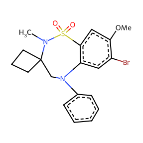 COc1cc2c(cc1Br)N(c1ccccc1)CC1(CCC1)N(C)S2(=O)=O